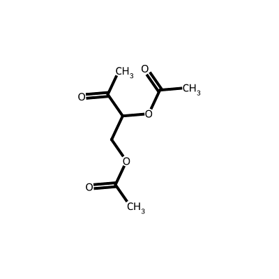 CC(=O)OCC(OC(C)=O)C(C)=O